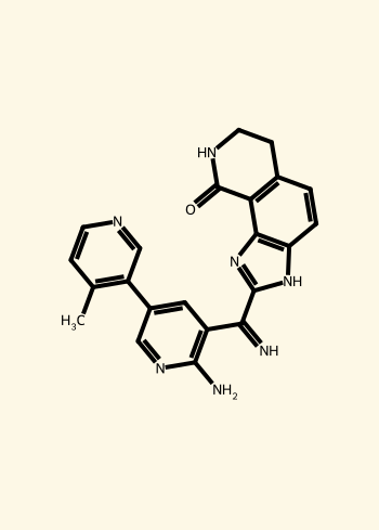 Cc1ccncc1-c1cnc(N)c(C(=N)c2nc3c4c(ccc3[nH]2)CCNC4=O)c1